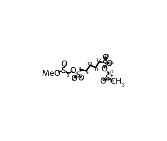 COS(=O)COS(=O)(=O)CCCCCS(=O)(=O)OC[S+](C)[O-]